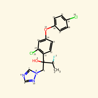 CC(F)C(O)(Cn1cncn1)c1ccc(Oc2ccc(Cl)cc2)cc1Cl